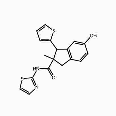 CC1(C(=O)Nc2nccs2)Cc2ccc(O)cc2C1c1cccs1